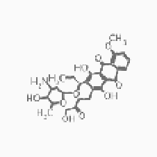 CC[C@H](OC1CC(N)C(O)C(C)O1)c1c(O)c2c(c(O)c1CCC(=O)CO)C(=O)c1cccc(OC)c1C2=O